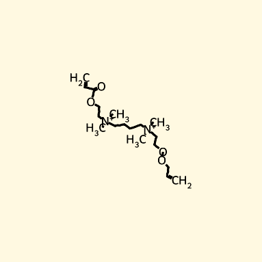 C=CCOOCC[N+](C)(C)CCCC[N+](C)(C)CCOC(=O)C=C